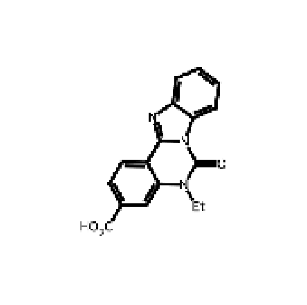 CCn1c(=O)n2c3ccccc3nc2c2ccc(C(=O)O)cc21